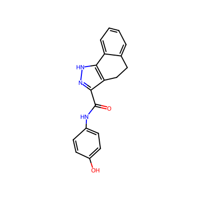 O=C(Nc1ccc(O)cc1)c1n[nH]c2c1CCc1ccccc1-2